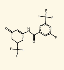 O=C1C=C(NC(=O)c2cc(F)cc(C(F)(F)F)c2)CC(C(F)(F)F)C1